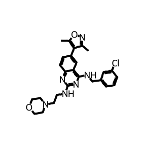 Cc1noc(C)c1-c1ccc2nc(NCCN3CCOCC3)nc(NCc3cccc(Cl)c3)c2c1